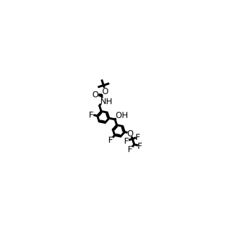 CC(C)(C)OC(=O)NCc1cc(C(O)c2cc(F)cc(OC(F)(F)C(F)F)c2)ccc1F